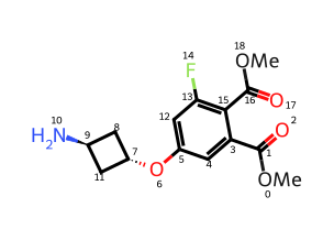 COC(=O)c1cc(O[C@H]2C[C@H](N)C2)cc(F)c1C(=O)OC